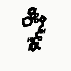 Cc1cncc(NC(=O)CNCCC2CC[C@@H]2OC(=O)C2(c3ccccc3)CCCCCC2)n1